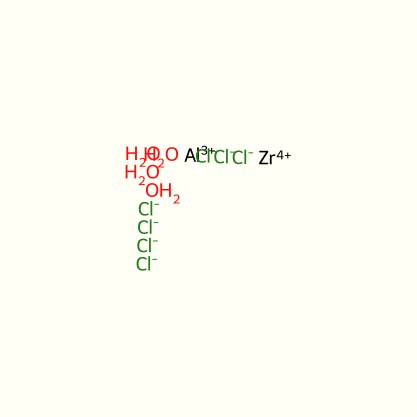 O.O.O.O.[Al+3].[Cl-].[Cl-].[Cl-].[Cl-].[Cl-].[Cl-].[Cl-].[Zr+4]